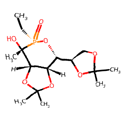 CC[P@]1(=O)O[C@H]([C@H]2COC(C)(C)O2)[C@@H]2OC(C)(C)O[C@@H]2[C@]1(C)O